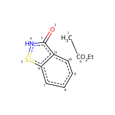 CCOC(C)=O.O=c1[nH]sc2ccccc12